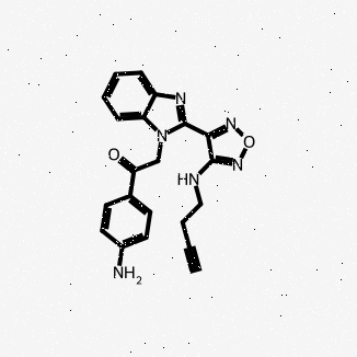 C#CCCNc1nonc1-c1nc2ccccc2n1CC(=O)c1ccc(N)cc1